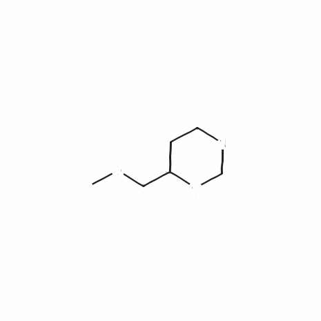 COCC1CC[N]CO1